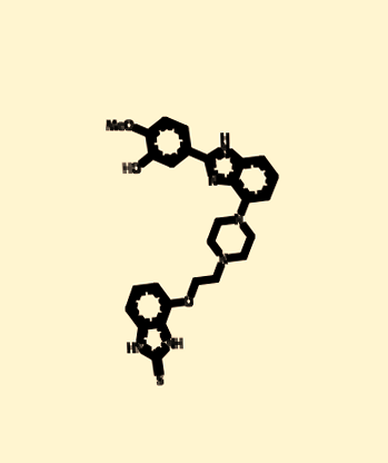 COc1ccc(-c2nc3c(N4CCN(CCOc5cccc6[nH]c(=S)[nH]c56)CC4)cccc3[nH]2)cc1O